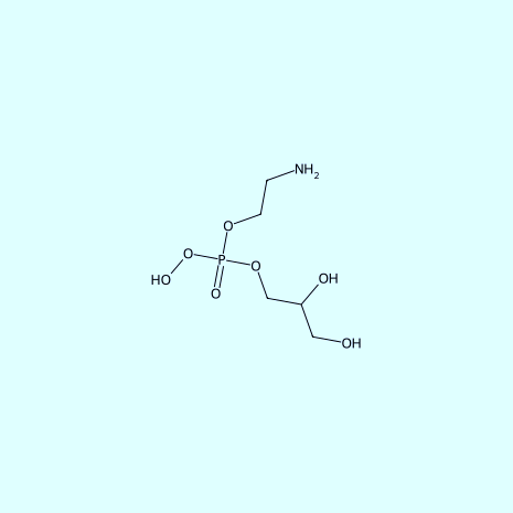 NCCOP(=O)(OO)OCC(O)CO